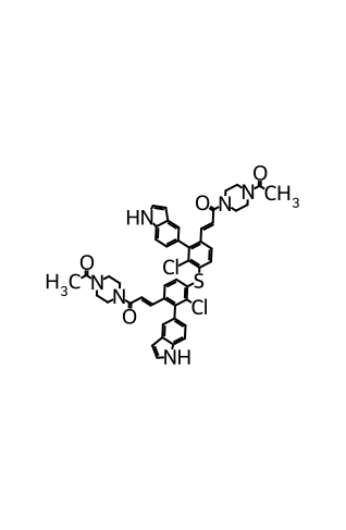 CC(=O)N1CCN(C(=O)/C=C/c2ccc(Sc3ccc(/C=C/C(=O)N4CCN(C(C)=O)CC4)c(-c4ccc5[nH]ccc5c4)c3Cl)c(Cl)c2-c2ccc3[nH]ccc3c2)CC1